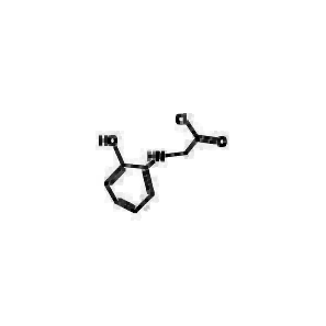 O=C(Cl)CNc1ccccc1O